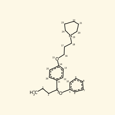 C[CH]CC(Oc1ccccc1)c1ccc(OCCCN2CCCCC2)cc1